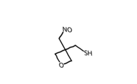 O=NCC1(CS)COC1